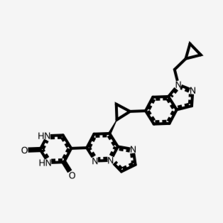 O=c1[nH]cc(-c2cc([C@H]3CC3c3ccc4cnn(CC5CC5)c4c3)c3nccn3n2)c(=O)[nH]1